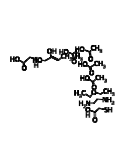 CC(=O)O.CC(=O)O.CC(=O)O.CC(=O)O.CC=C(O)CO.CCOCC.NCCN.O=C(O)CS.O=C(O)CS